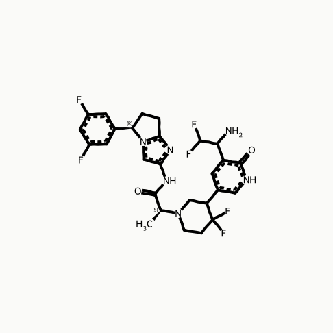 C[C@@H](C(=O)Nc1cn2c(n1)CC[C@@H]2c1cc(F)cc(F)c1)N1CCC(F)(F)C(c2c[nH]c(=O)c(C(N)C(F)F)c2)C1